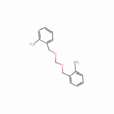 O=[N+]([O-])c1ccccc1CO[CH]OCc1ccccc1[N+](=O)[O-]